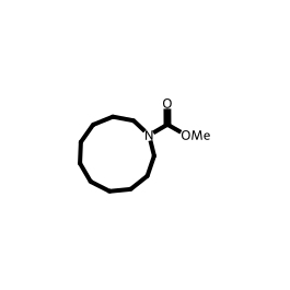 COC(=O)N1CCCCCCCCCC1